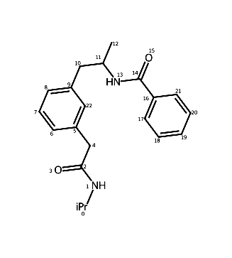 CC(C)NC(=O)Cc1cccc(CC(C)NC(=O)c2ccccc2)c1